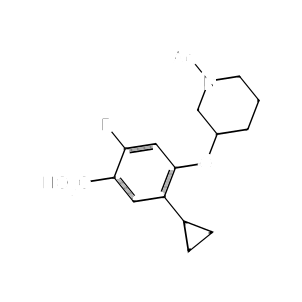 CC(=O)N1CCCC(Oc2cc(F)c(C(=O)O)cc2C2CC2)C1